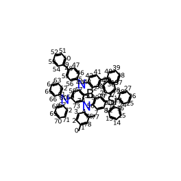 Cc1ccc(N2c3ccc([Si](c4ccccc4)(c4ccccc4)c4ccccc4)cc3B3c4cc(-c5ccccc5)ccc4N(c4ccc(-c5ccccc5)cc4)c4cc(N(c5ccccc5)c5ccccc5)cc2c43)c(C)c1